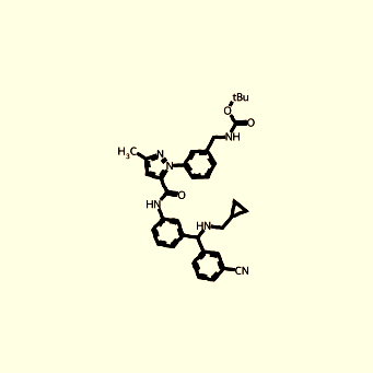 Cc1cc(C(=O)Nc2cccc(C(NCC3CC3)c3cccc(C#N)c3)c2)n(-c2cccc(CNC(=O)OC(C)(C)C)c2)n1